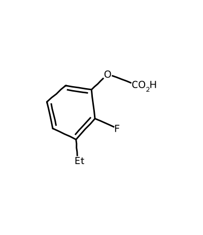 CCc1cccc(OC(=O)O)c1F